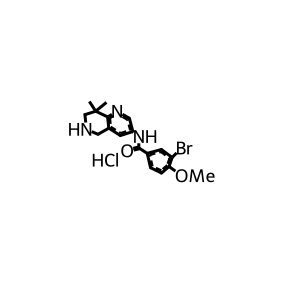 COc1ccc(C(=O)Nc2cnc3c(c2)CNCC3(C)C)cc1Br.Cl